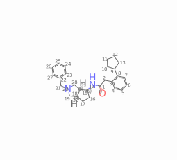 O=C(Cc1ccccc1C1CCCC1)N[C@H]1CC[C@H]2CN(Cc3ccccc3)C[C@H]21